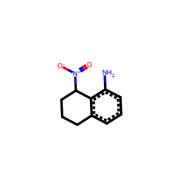 Nc1cccc2c1C([N+](=O)[O-])CCC2